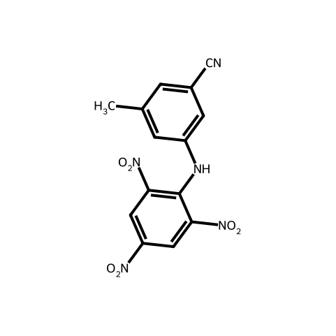 Cc1cc(C#N)cc(Nc2c([N+](=O)[O-])cc([N+](=O)[O-])cc2[N+](=O)[O-])c1